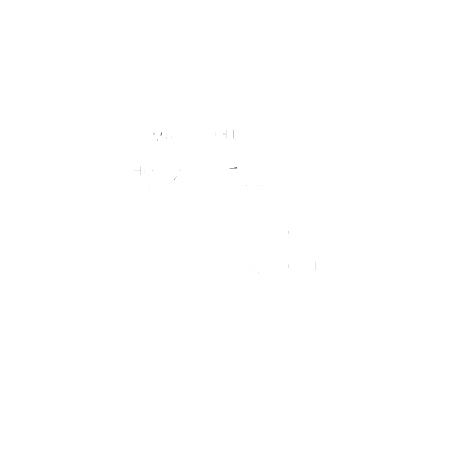 CO[C@@H]1[C@H](O)[C@@H](O)[C@H](c2ccc3c(OCc4ccccc4)c(C(=O)O)c(=O)oc3c2C)O[C@]1(C)CO